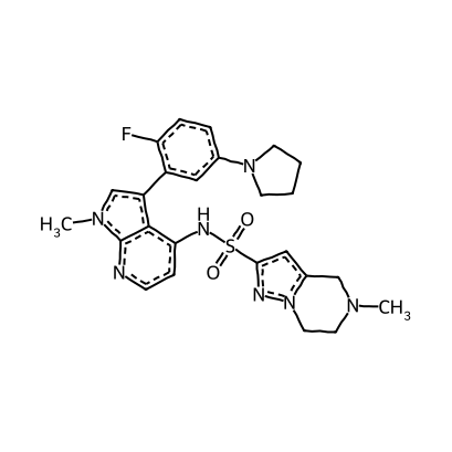 CN1CCn2nc(S(=O)(=O)Nc3ccnc4c3c(-c3cc(N5CCCC5)ccc3F)cn4C)cc2C1